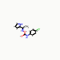 C/C(=N\OC(=O)Nc1ccc(Cl)cc1)c1ccc[nH]1